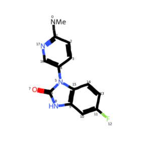 CNc1ccc(-n2c(=O)[nH]c3cc(F)ccc32)cn1